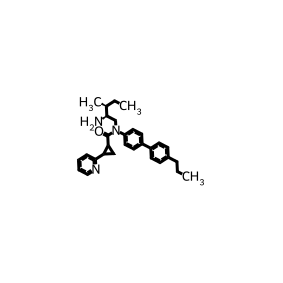 CCCc1ccc(-c2ccc(N(C[C@@H](N)[C@@H](C)CC)C(=O)C3CC3c3ccccn3)cc2)cc1